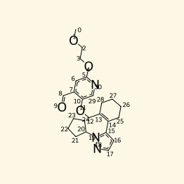 COCCOc1cc(C=O)c(OCC2=C(c3ccnn3C3CCCC3)CCCC2)cn1